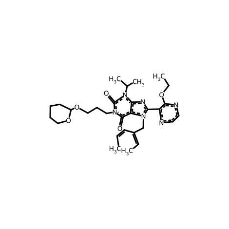 C/C=C\C(=C/C)Cn1c(-c2nccnc2OCC)nc2c1c(=O)n(CCCOC1CCCCO1)c(=O)n2C(C)C